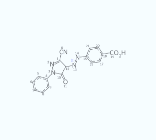 N#CC1=NN(c2ccccc2)C(=O)C1/N=N/c1ccc(C(=O)O)cc1